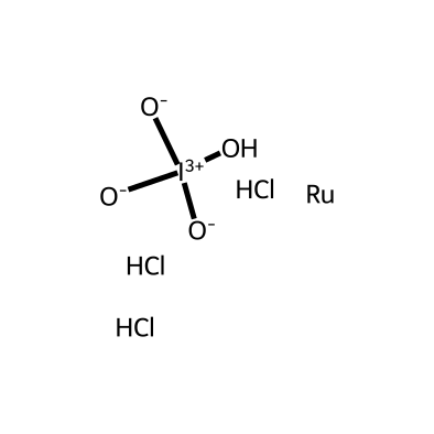 Cl.Cl.Cl.[O-][I+3]([O-])([O-])O.[Ru]